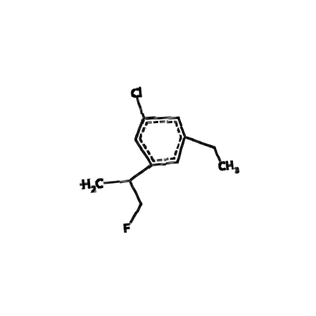 [CH2]C(CF)c1cc(Cl)cc(CC)c1